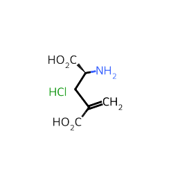 C=C(C[C@H](N)C(=O)O)C(=O)O.Cl